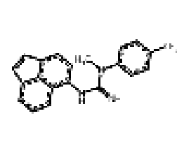 CN(C(=N)Nc1ccc2c3c(cccc13)C=C2)c1ccc(C(F)(F)F)cc1